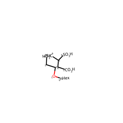 CCCCCCOC[CH2][Na].O=C(O)CC(C(=O)O)S(=O)(=O)O